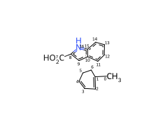 CC1=CC=CCC1.O=C(O)c1cc2ccccc2[nH]1